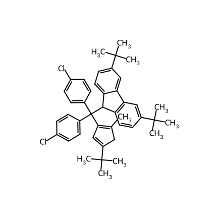 CC1=C(C(c2ccc(Cl)cc2)(c2ccc(Cl)cc2)C2c3ccc(C(C)(C)C)cc3-c3cc(C(C)(C)C)ccc32)C=C(C(C)(C)C)C1